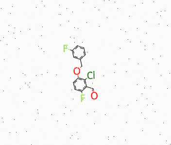 O=Cc1c(F)ccc(OCc2cccc(F)c2)c1Cl